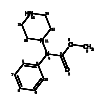 COC(=O)N(c1ccccc1)N1CCNCC1